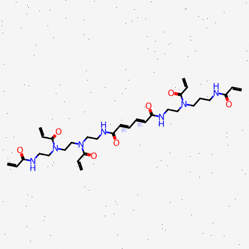 C=CC(=O)NCCCN(CCNC(=O)/C=C/C=C/C(=O)NCCN(CCN(CCNC(=O)C=C)C(=O)C=C)C(=O)C=C)C(=O)C=C